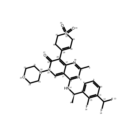 Cc1nc(N[C@H](C)c2cccc(C(F)F)c2F)c2cn(N3CCOCC3)c(=O)c(C3=CCS(=O)(=O)CC3)c2n1